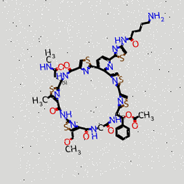 CNC(=O)C[C@@H]1NC(=O)c2csc(n2)-c2ccc(-c3nc(NC(=O)CCCCN)cs3)nc2-c2csc(n2)-c2csc(n2)[C@H]([C@@H](OC(C)=O)c2ccccc2)NC(=O)CNC(=O)c2nc(sc2COC)NC(=O)c2nc1sc2C